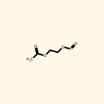 CC(=O)OCCOP=O